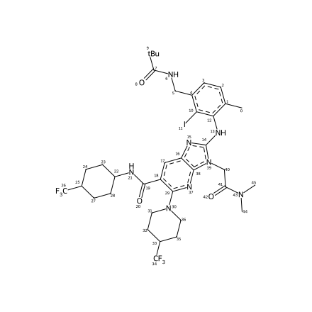 Cc1ccc(CNC(=O)C(C)(C)C)c(I)c1Nc1nc2cc(C(=O)NC3CCC(C(F)(F)F)CC3)c(N3CCC(C(F)(F)F)CC3)nc2n1CC(=O)N(C)C